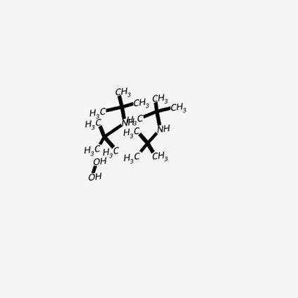 CC(C)(C)NC(C)(C)C.CC(C)(C)NC(C)(C)C.OO